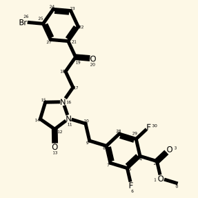 COC(=O)c1c(F)cc(CCN2C(=O)CCN2CCC(=O)c2cccc(Br)c2)cc1F